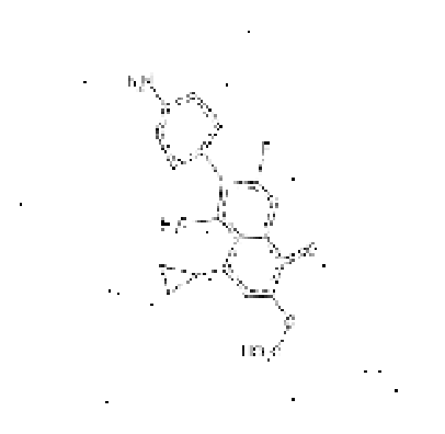 Cc1c(-c2ccc(N)cc2)c(F)cn2c(=O)c(OC(=O)O)cc(C3CC3)c12